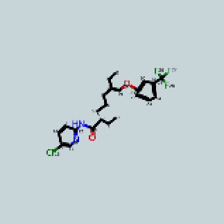 CCC(CCC[C@H](CC)C(=O)Nc1ccc(Cl)cn1)COc1cccc(C(F)(F)F)c1